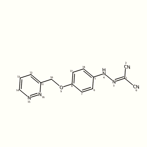 N#CC(C#N)=NNc1ccc(OCc2cccnn2)cc1